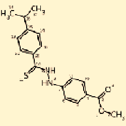 COC(=O)c1ccc(NNC(=S)c2ccc(C(C)C)cc2)cc1